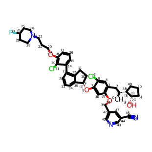 CC(Cc1cc(Cl)c(O[C@H]2CCc3c(-c4cccc(OCCCN5CCC(F)CC5)c4Cl)cccc32)cc1OCc1cncc(C#N)c1)[C@@H]1CCC[C@@H]1O